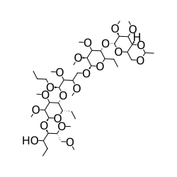 CCCO[C@H](O[C@H]1C(OC)C(OC)[C@H](O[C@H](C(O)CC)[C@@H](COC)OC)O[C@H]1CC)C(OC)C(CO[C@@H]1OC(CC)[C@@H](O[C@H]2OC3COC(C)O[C@H]3C(OC)[C@@H]2OC)C(OC)[C@@H]1OC)OC